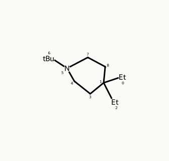 CCC1(CC)CCN(C(C)(C)C)CC1